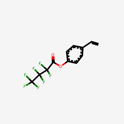 C=Cc1ccc(OC(=O)C(F)(F)C(F)(F)C(F)(F)F)cc1